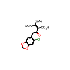 CSC(SC)=C(C(=O)O)C(=O)Cc1cc2c(cc1Cl)OCO2